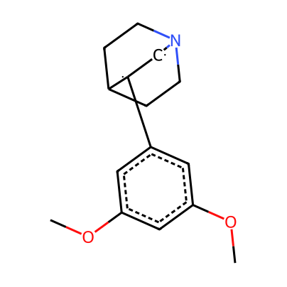 COc1cc(OC)cc([C]2[CH]N3CCC2CC3)c1